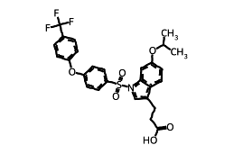 CC(C)Oc1ccc2c(CCC(=O)O)cn(S(=O)(=O)c3ccc(Oc4ccc(C(F)(F)F)cc4)cc3)c2c1